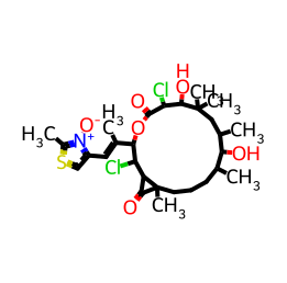 CC(=Cc1csc(C)[n+]1[O-])C1OC(=O)C(Cl)C(O)C(C)(C)CC(C)C(O)C(C)CCCC2(C)C(=O)C2C1Cl